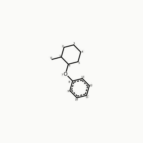 CC1CCCCC1Oc1[c]c[c]cc1